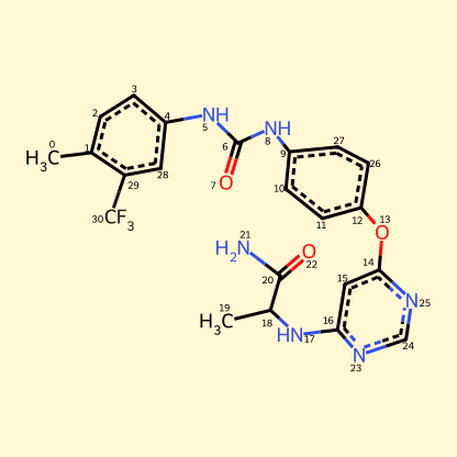 Cc1ccc(NC(=O)Nc2ccc(Oc3cc(NC(C)C(N)=O)ncn3)cc2)cc1C(F)(F)F